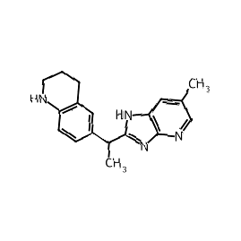 Cc1cnc2nc(C(C)c3ccc4c(c3)CCCN4)[nH]c2c1